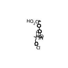 Cc1noc(-c2ccc(-c3ccc(C4(C(=O)O)CC4)cc3)cc2)c1NC(C)CCc1ccc(Cl)cc1